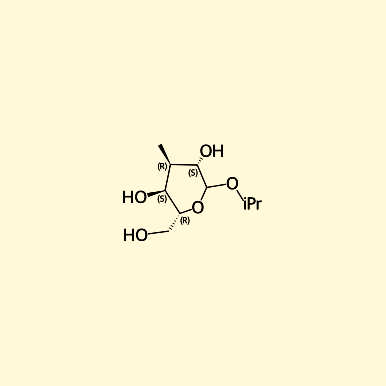 CC(C)OC1O[C@H](CO)[C@@H](O)[C@@H](C)[C@@H]1O